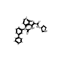 O=C(N[C@@H]1CCNC1)c1sc2nccc3c2c1NC(=O)N3c1cccc(-c2ccccc2)c1